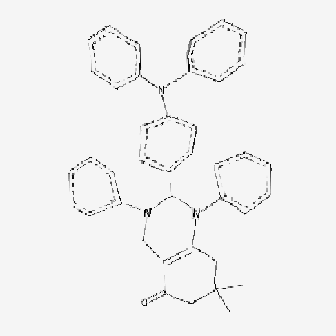 CC1(C)CC(=O)C2=C(C1)N(c1ccccc1)C(c1ccc(N(c3ccccc3)c3ccccc3)cc1)N(c1ccccc1)C2